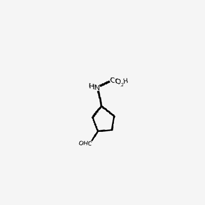 O=CC1CCC(NC(=O)O)C1